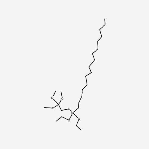 CCCCCCCCCCCCCCCC[Si](OCC)(OCC)OCC(OC)(OC)OC